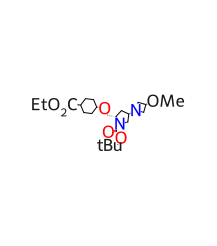 CCOC(=O)[C@H]1CC[C@H](OC[C@@H]2C[C@H](N3CC(OC)C3)CN2C(=O)OC(C)(C)C)CC1